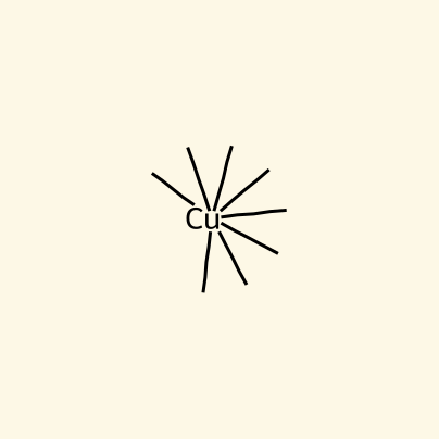 [CH3][Cu]([CH3])([CH3])([CH3])([CH3])([CH3])([CH3])[CH3]